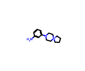 Nc1cccc(N2CC[N+]3(CCCC3)CC2)c1